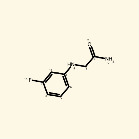 NC(=O)CNc1cccc(F)c1